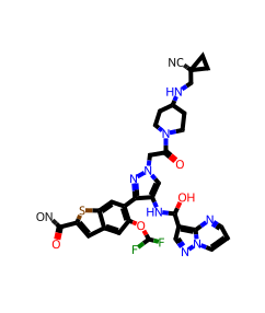 N#CC1(CNC2CCN(C(=O)Cn3cc(NC(O)c4cnn5cccnc45)c(-c4cc5sc(C(=O)N=O)cc5cc4OC(F)F)n3)CC2)CC1